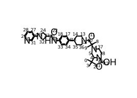 CC(C)(C)C1CN(C(C)(C)C(=O)N2CCC(c3ccc(NC(=O)C4CN(c5cccnc5)C4)cc3)CC2)CCN1C(=O)O